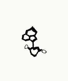 O=C1C=CC(=O)C(C2=Cc3cccc4cccc2c34)=C1